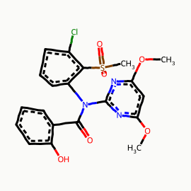 COc1cc(OC)nc(N(C(=O)c2ccccc2O)c2cccc(Cl)c2S(C)(=O)=O)n1